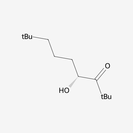 CC(C)(C)CCC[C@@H](O)C(=O)C(C)(C)C